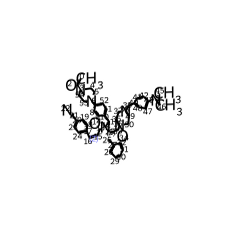 CC(=O)N1CCN(c2ccc(CN(C(=O)/C=C\c3ccc(C#N)cc3)[C@@H](Cc3ccccc3)C(=O)N3CCN(Cc4ccc(N(C)C)cc4)CC3)cc2)CC1